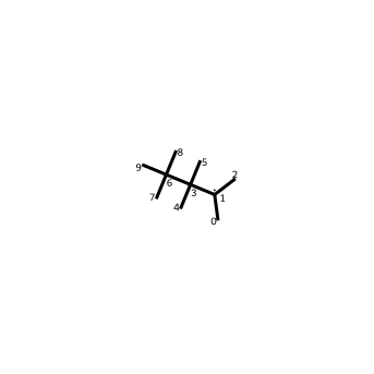 C[C](C)C(C)(C)C(C)(C)C